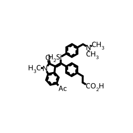 CC(=O)c1ccc2c(c1)/C(=C(/[SiH2]c1ccc(CN(C)C)cc1)c1ccc(CCC(=O)O)cc1)C(=O)N2C